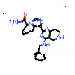 NC(=O)c1cccc2c(-c3nc4c(c(NCc5ccccc5)n3)CNCC4)ncn12